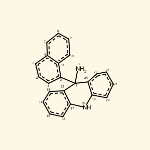 NC1(c2cccc3ccccc23)c2ccccc2Nc2ccccc21